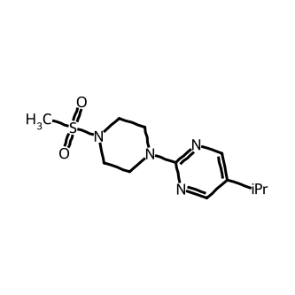 CC(C)c1cnc(N2CCN(S(C)(=O)=O)CC2)nc1